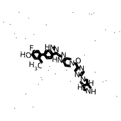 CCc1cc(O)c(F)cc1-c1ccc2c(-c3nc4c([nH]3)CCN(C(=O)c3cnc(N5C[C@H]6CNC[C@H]6C5)cn3)C4)n[nH]c2c1